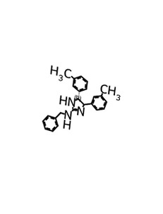 Cc1cccc(C2N=C(NCc3ccccc3)N[C@@H]2c2cccc(C)c2)c1